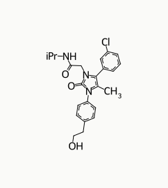 Cc1c(-c2cccc(Cl)c2)n(CC(=O)NC(C)C)c(=O)n1-c1ccc(CCO)cc1